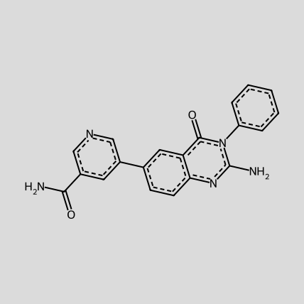 NC(=O)c1cncc(-c2ccc3nc(N)n(-c4ccccc4)c(=O)c3c2)c1